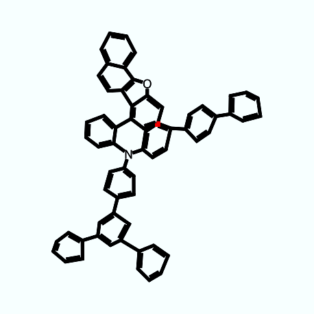 c1ccc(-c2ccc(-c3ccc(N(c4ccc(-c5cc(-c6ccccc6)cc(-c6ccccc6)c5)cc4)c4ccccc4-c4cccc5oc6c7ccccc7ccc6c45)cc3)cc2)cc1